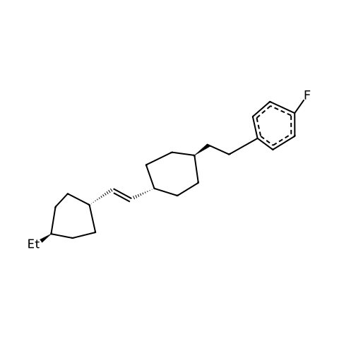 CC[C@H]1CC[C@H](/C=C/[C@H]2CC[C@H](CCc3ccc(F)cc3)CC2)CC1